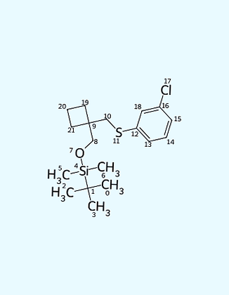 CC(C)(C)[Si](C)(C)OCC1(CSc2cccc(Cl)c2)CCC1